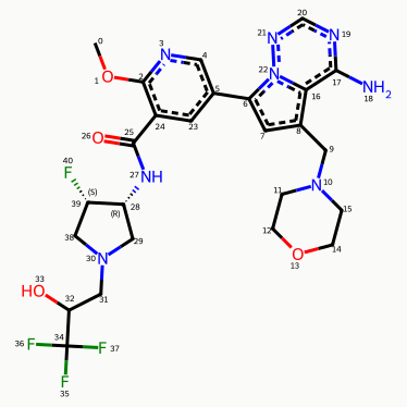 COc1ncc(-c2cc(CN3CCOCC3)c3c(N)ncnn23)cc1C(=O)N[C@@H]1CN(CC(O)C(F)(F)F)C[C@@H]1F